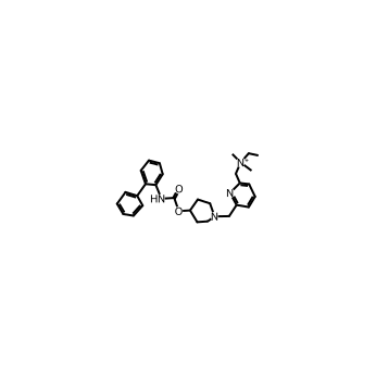 CC[N+](C)(C)Cc1cccc(CN2CCC(OC(=O)Nc3ccccc3-c3ccccc3)CC2)n1